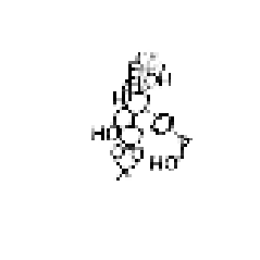 CC1(C)COC2(CCC3=C4[C@@H](CC[C@@]3(O)C2)[C@@H]2CC[C@@](O)(C(F)(F)C(F)(F)F)[C@@]2(C)C[C@@H]4c2ccc([C@@H]3C[C@H]3CO)cc2)OC1